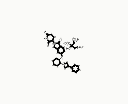 O=C(O)CC(O)(CC(=O)O)C(=O)O.O=C1CCC(N2Cc3cc(O[C@H]4CCCC[C@@H]4N4CC(c5ccccc5)C4)ccc3C2=O)C(=O)N1